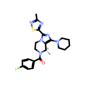 Cc1nsc(-c2nc(N3CCCCC3)c3n2CCN(C(=O)c2ccc(F)cc2)[C@H]3C)n1